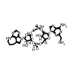 NCc1nc(N)c2ncn([C@@H]3O[C@@H]4COP(=O)(S)O[C@H]5[C@@H](O)[C@H](n6cc7c8c(ncnc86)NCCC7)O[C@@H]5COP(=O)(S)O[C@@H]3[C@@H]4O)c2n1